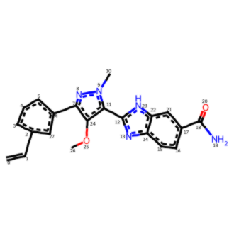 C=Cc1cccc(-c2nn(C)c(-c3nc4ccc(C(N)=O)cc4[nH]3)c2OC)c1